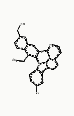 CC(C)c1ccc2c(c1)c1ccc3ccnc4c5cc6cc(CC(C)(C)C)ccc6c(CC(C)(C)C)c5n2c1c34